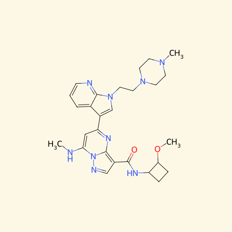 CNc1cc(-c2cn(CCN3CCN(C)CC3)c3ncccc23)nc2c(C(=O)NC3CCC3OC)cnn12